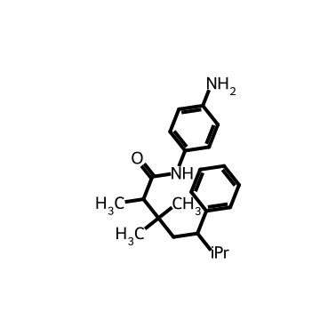 CC(C)C(CC(C)(C)C(C)C(=O)Nc1ccc(N)cc1)c1ccccc1